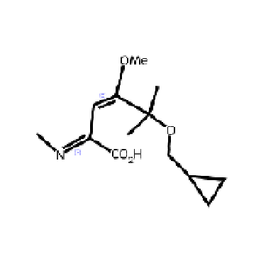 C/N=C(\C=C(\OC)C(C)(C)OCC1CC1)C(=O)O